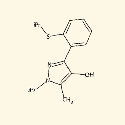 Cc1c(O)c(-c2ccccc2SC(C)C)nn1C(C)C